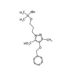 Cc1nn(CCCO[Si](C)(C)C(C)(C)C)c(C(=O)O)c1OCc1ccccc1